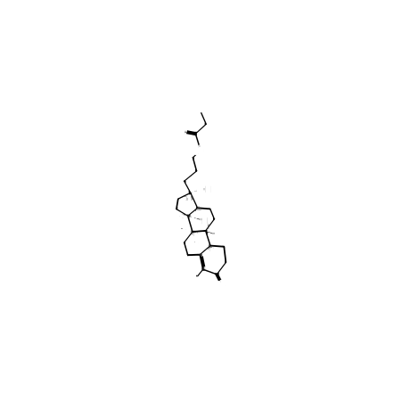 CCC(=O)OCCC[C@]1(O)CC[C@H]2[C@@H]3CCC4=C(Cl)C(=O)CC[C@]4(C)[C@H]3CC[C@@]21C